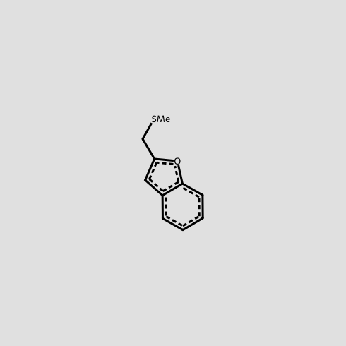 CSCc1cc2ccccc2o1